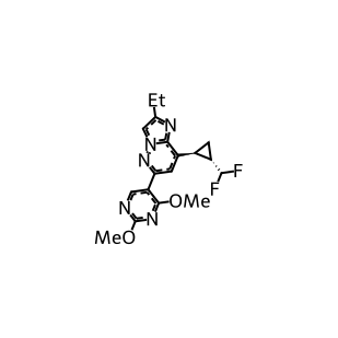 CCc1cn2nc(-c3cnc(OC)nc3OC)cc([C@H]3C[C@@H]3C(F)F)c2n1